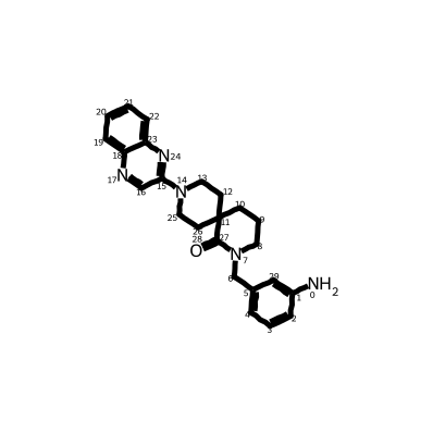 Nc1cccc(CN2CCCC3(CCN(c4cnc5ccccc5n4)CC3)C2=O)c1